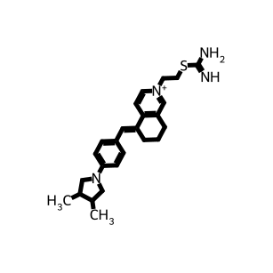 CC1CN(c2ccc(/C=C3\CCCc4c[n+](CCSC(=N)N)ccc43)cc2)CC1C